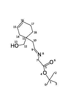 CC(C)(C)OC(=O)C/N=C/CC1(CO)CC=CCC1